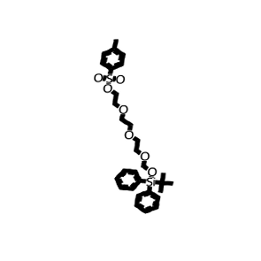 Cc1ccc(S(=O)(=O)OCCOCCOCCOCO[Si](c2ccccc2)(c2ccccc2)C(C)(C)C)cc1